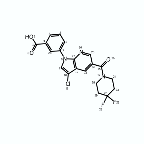 O=C(O)c1cccc(-n2cc(Cl)c3cc(C(=O)N4CCC(F)(F)CC4)cnc32)c1